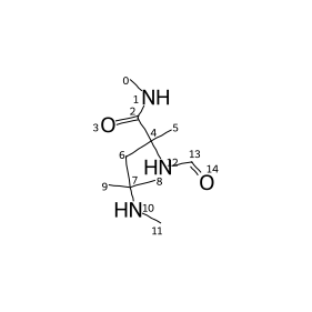 CNC(=O)C(C)(CC(C)(C)NC)NC=O